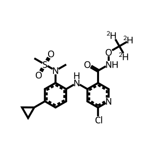 [2H]C([2H])([2H])ONC(=O)c1cnc(Cl)cc1Nc1ccc(C2CC2)cc1N(C)S(C)(=O)=O